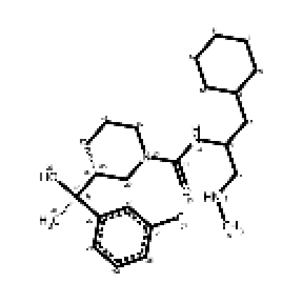 CNCC(CC1CCCCC1)NC(=O)N1CCC[C@@H]([C@](C)(O)c2cccc(Cl)c2)C1